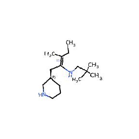 CC/C(C)=C(/C[C@H]1CCCNC1)NCC(C)(C)C